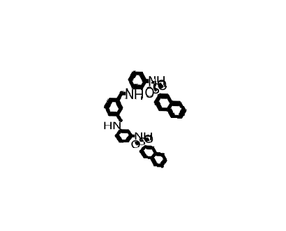 O=S(=O)(Nc1cccc(NCc2cccc(CNc3cccc(NS(=O)(=O)c4ccc5ccccc5c4)c3)c2)c1)c1ccc2ccccc2c1